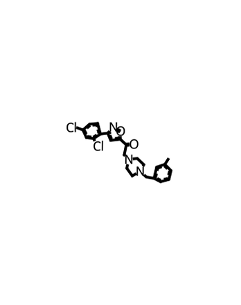 Cc1cccc(CN2CCN(CC(=O)c3cc(-c4ccc(Cl)cc4Cl)no3)CC2)c1